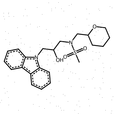 CS(=O)(=O)N(CC(O)Cn1c2ccccc2c2ccccc21)CC1CCCCO1